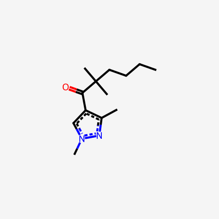 CCCCC(C)(C)C(=O)c1cn(C)nc1C